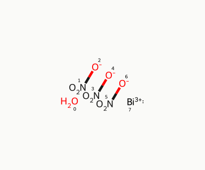 O.O=[N+]([O-])[O-].O=[N+]([O-])[O-].O=[N+]([O-])[O-].[Bi+3]